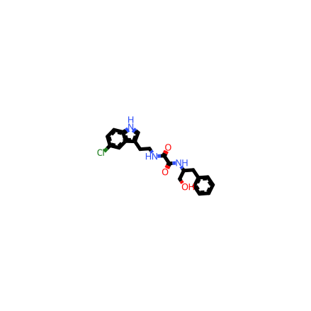 O=C(NCCc1c[nH]c2ccc(Cl)cc12)C(=O)NC(CO)Cc1ccccc1